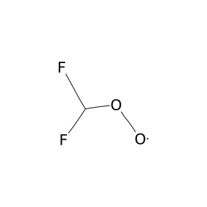 [O]OC(F)F